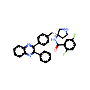 O=C(N[C@]1(Cc2ccc(-c3nc4ccccc4nc3-c3ccccc3)cc2)CCNC1)c1cc(F)ccc1F